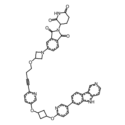 O=C1CCC(N2C(=O)c3ccc(N4CC(OCCC#Cc5ccc(OC6CC(Oc7ccc(-c8ccc9c(c8)[nH]c8ccncc89)cn7)C6)cn5)C4)cc3C2=O)C(=O)N1